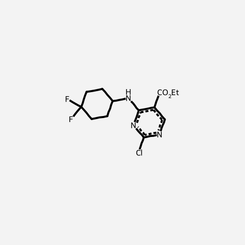 CCOC(=O)c1cnc(Cl)nc1NC1CCC(F)(F)CC1